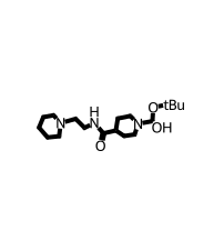 CC(C)(C)OC(O)N1CCC(C(=O)NCCN2CCCCC2)CC1